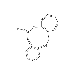 C=C1/C=c2/cccc/c2=N/CC2=C(N=C=CC=C2)O1